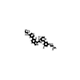 CC(C)CC(=O)Nc1cncc(-c2ccc3c(c2F)C(c2nc4c(-c5cc(F)cc(NCCN(C)C)c5)nccc4[nH]2)=NC3)c1